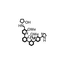 COc1nc(-c2cccc(-c3cccc(-c4ccc(C5=NCCN5)c(OC)n4)c3C)c2C)ccc1CN[C@@H]1CCC[C@@H]1O